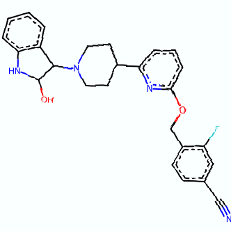 N#Cc1ccc(COc2cccc(C3CCN(C4c5ccccc5NC4O)CC3)n2)c(F)c1